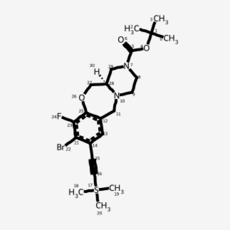 CC(C)(C)OC(=O)N1CCN2Cc3cc(C#CS(C)(C)C)c(Br)c(F)c3OC[C@H]2C1